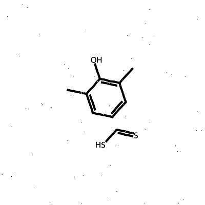 Cc1cccc(C)c1O.S=CS